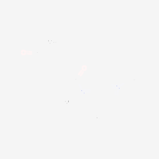 CCCCc1cn(C(C)(C)C)sc1=NC(=O)c1cc(C(=O)OC)ccc1OC